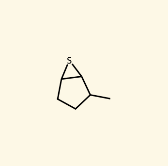 CC1CCC2SC12